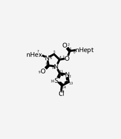 CCCCCCCC(=O)OC1CN(CCCCCC)C(=O)N1c1ncc(Cl)s1